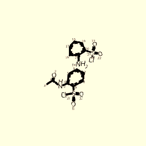 CC(=O)Nc1ccccc1S(=O)(=O)Cl.Nc1ccccc1S(=O)(=O)Cl